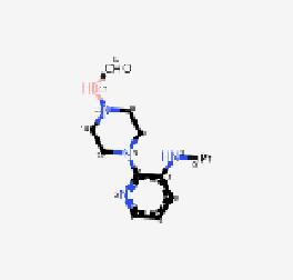 CC(C)Nc1cccnc1N1CCN(BC=O)CC1